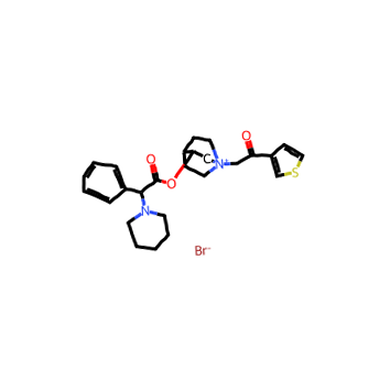 O=C(C[N+]12CCC(CC1)C(OC(=O)C(c1ccccc1)N1CCCCC1)C2)c1ccsc1.[Br-]